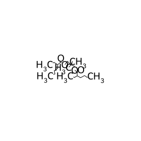 CCCCC(CC)C(=O)OCC(C)(C)COC(=O)C(CC)CCCC